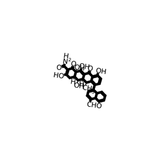 C[C@H]1c2c(C3=CC=C(C=O)C4C=CC=CC34)ccc(O)c2C(=O)C2=C(O)[C@]3(O)C(=O)C(C(N)=O)=C(O)C[C@@H]3[C@@H](O)[C@@H]21